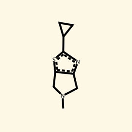 CN1Cc2nc(C3CC3)sc2C1